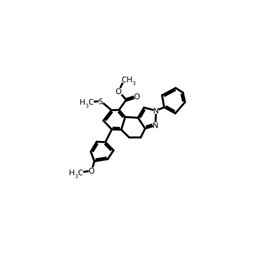 COC(=O)c1c(SC)cc(-c2ccc(OC)cc2)c2c1-c1cn(-c3ccccc3)nc1CC2